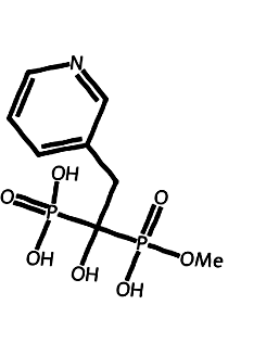 COP(=O)(O)C(O)(Cc1cccnc1)P(=O)(O)O